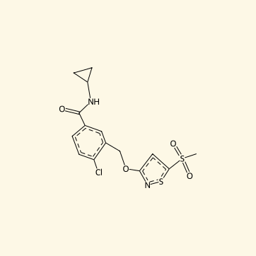 CS(=O)(=O)c1cc(OCc2cc(C(=O)NC3CC3)ccc2Cl)ns1